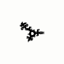 CC(=NS(=O)(=O)C(C)(C)C)c1cc(C(C)(C)O)cc(C(F)(F)F)c1